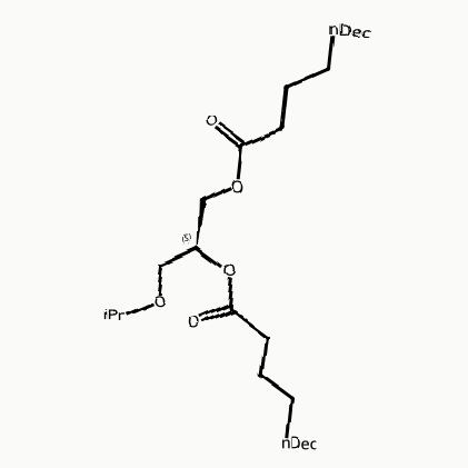 CCCCCCCCCCCCCC(=O)OC[C@H](COC(C)C)OC(=O)CCCCCCCCCCCCC